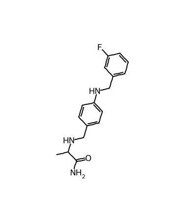 CC(NCc1ccc(NCc2cccc(F)c2)cc1)C(N)=O